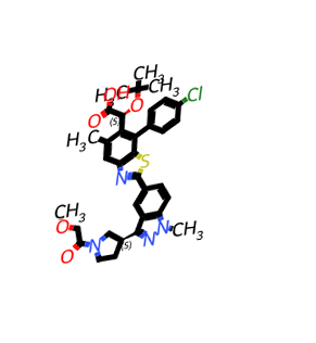 COCC(=O)N1CC[C@H](c2nn(C)c3ccc(-c4nc5cc(C)c([C@H](OC(C)(C)C)C(=O)O)c(-c6ccc(Cl)cc6)c5s4)cc23)C1